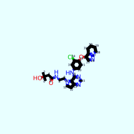 CC(C)(O)CC(=O)NCCn1ccc2ncnc(Nc3ccc(Oc4cnn5ccccc45)c(Cl)c3)c21